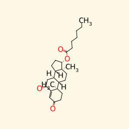 CCCCCCC(=O)O[C@H]1CC[C@H]2[C@@H]3CC(=O)C4=CC(=O)CC[C@]4(C)[C@H]3CC[C@]12C